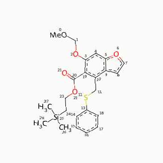 COCOc1cc2occc2c(CSc2ccccc2)c1C(=O)OCC[Si](C)(C)C